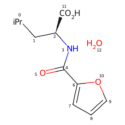 CC(C)C[C@H](NC(=O)c1ccco1)C(=O)O.O